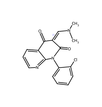 CN(C)/C=C1/C(=O)c2cccnc2N(c2ccccc2Cl)C1=O